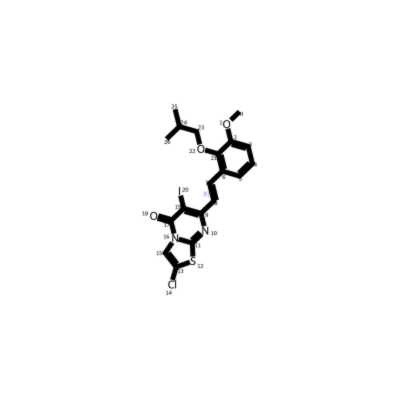 COc1cccc(/C=C/c2nc3sc(Cl)cn3c(=O)c2I)c1OCC(C)C